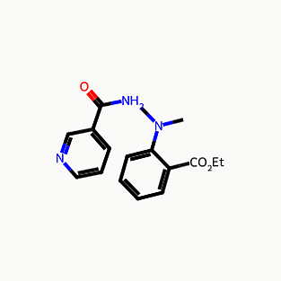 CCOC(=O)c1ccccc1N(C)C.NC(=O)c1cccnc1